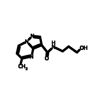 Cc1ccn2ncc(C(=O)NCCCO)c2n1